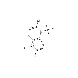 Cc1c(N(C(=O)O)C(C)(C)C)ccc(Cl)[n+]1[O-]